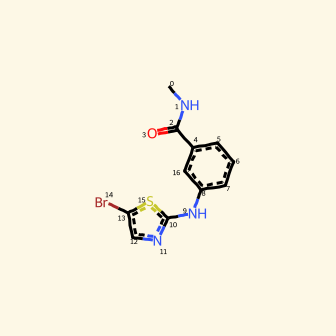 CNC(=O)c1cccc(Nc2ncc(Br)s2)c1